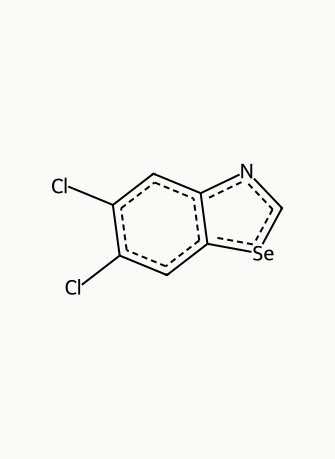 Clc1cc2nc[se]c2cc1Cl